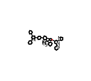 c1ccc(-c2cc(-c3ccccc3)nc(-c3ccc(-c4ccc5c(c4)C4(c6ccccc6Sc6ccccc64)c4cc(-c6cc(-c7ccccn7)nc(-c7ccccn7)c6)ccc4-5)cc3)c2)cc1